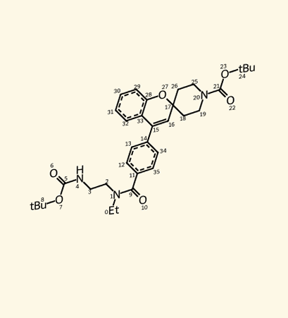 CCN(CCNC(=O)OC(C)(C)C)C(=O)c1ccc(C2=CC3(CCN(C(=O)OC(C)(C)C)CC3)Oc3ccccc32)cc1